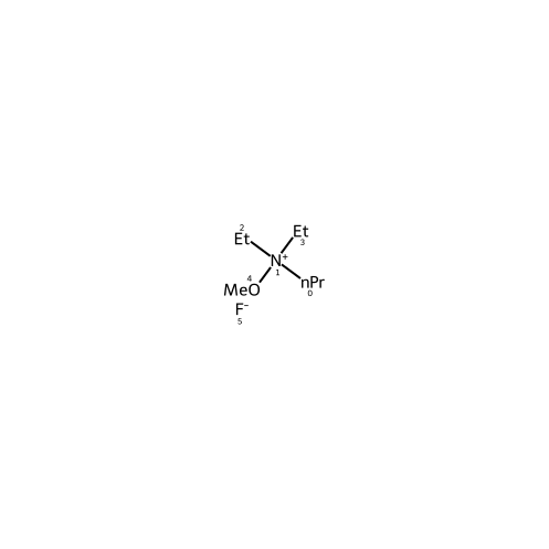 CCC[N+](CC)(CC)OC.[F-]